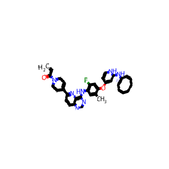 C=CC(=O)N1CC=C(c2ccc3ncnc(Nc4cc(C)c(OC5=CC(N/C6=C/CCCCCC6)NC=C5)cc4F)c3n2)CC1